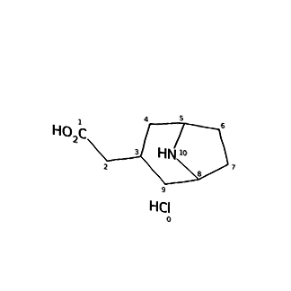 Cl.O=C(O)CC1CC2CCC(C1)N2